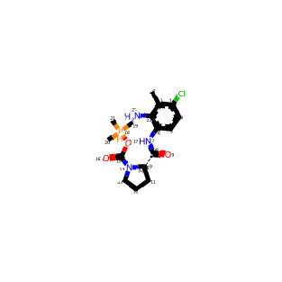 Cc1c(Cl)ccc(NC(=O)[C@@H]2CCCN2C(=O)O[PH](C)(C)C)c1N